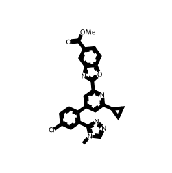 COC(=O)c1ccc2oc(-c3cc(-c4ccc(Cl)cc4-c4nncn4C)cc(C4CC4)n3)nc2c1